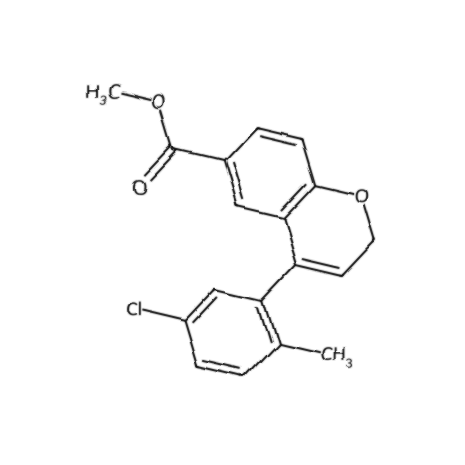 COC(=O)c1ccc2c(c1)C(c1cc(Cl)ccc1C)=CCO2